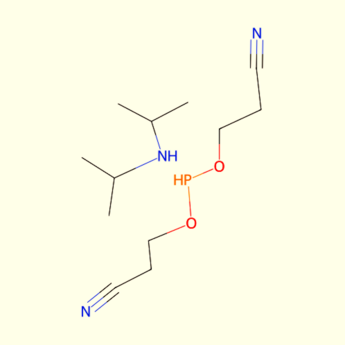 CC(C)NC(C)C.N#CCCOPOCCC#N